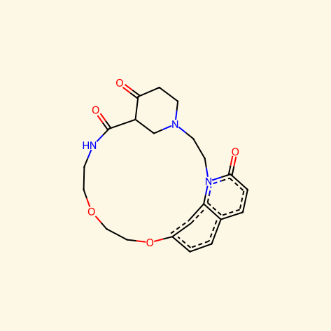 O=C1CCN2CCn3c(=O)ccc4ccc(cc43)OCCOCCNC(=O)C1C2